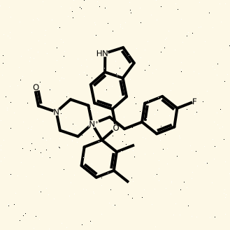 CC1=C(C)C(Oc2ccc3[nH]ccc3c2)([N+]2(CCc3ccc(F)cc3)CCN(C=O)CC2)CC=C1